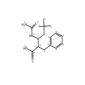 CC(C)(C)ON(NC(N)=S)C(Cc1ccccc1)C(=O)O